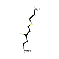 CCCCCCCCCC(F)CCSCCC(=O)O